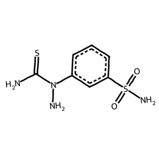 NC(=S)N(N)c1cccc(S(N)(=O)=O)c1